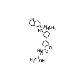 C[C@@H](O)CONC(=O)c1ccc(-c2ccc(N(C)N)c(NCc3ccc4ncccc4c3)n2)cc1Cl